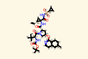 C=C[C@@H]1C[C@]1(NC(=O)[C@@H]1C[C@@H](Oc2nccc3cc(C)ccc23)CN1C(=O)[C@@H](NC(=O)OC(C)(C)C)C(C)(C)C)C(=O)NS(=O)(=O)C1CC1